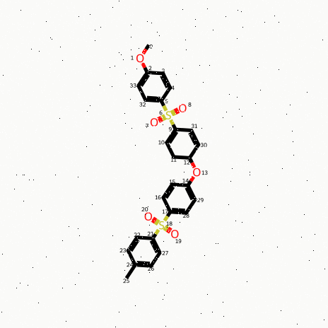 COc1ccc(S(=O)(=O)C2=CCC(Oc3ccc(S(=O)(=O)c4ccc(C)cc4)cc3)C=C2)cc1